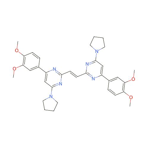 COc1ccc(-c2cc(N3CCCC3)nc(C=Cc3nc(-c4ccc(OC)c(OC)c4)cc(N4CCCC4)n3)n2)cc1OC